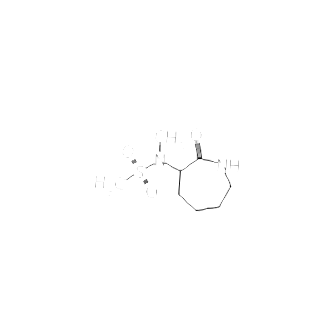 CN(C1CCCCNC1=O)S(C)(=O)=O